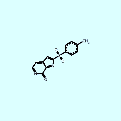 Cc1ccc(S(=O)(=O)C2=CC3=CC=NC(=O)C3=N2)cc1